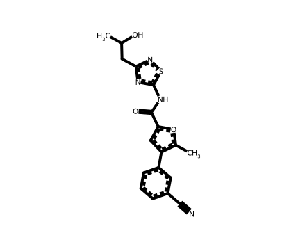 Cc1oc(C(=O)Nc2nc(CC(C)O)ns2)cc1-c1cccc(C#N)c1